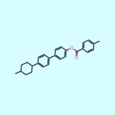 Cc1ccc(C(=O)Oc2ccc(-c3ccc(C4CCC(C)CC4)cc3)cc2)cc1